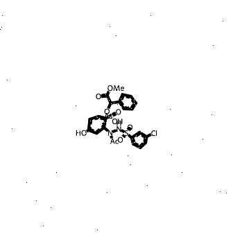 COC(=O)C(O[As](=O)(O)c1ccc(O)cc1N(NS(=O)(=O)c1cccc(Cl)c1)C(C)=O)c1ccccc1